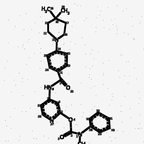 CN(C(=O)Oc1cc(NC(=O)c2ccc(N3CCC(C)(C)CC3)cc2)ccn1)c1ccccc1